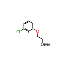 COCCOc1[c]c(Cl)ccc1